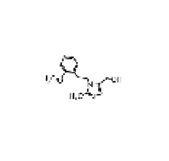 COc1ccccc1CCn1c(CO)cnc1C